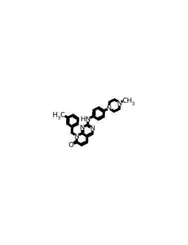 Cc1cccc(Cn2c(=O)ccc3cnc(Nc4ccc(N5CCN(C)CC5)cc4)nc32)c1